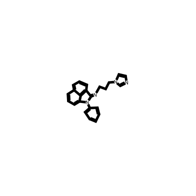 c1ccc(N2/C(=N/CCCn3ccnc3)c3cccc4cccc2c34)cc1